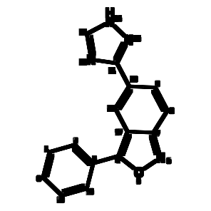 c1ccc(-c2onc3ccc(-c4nc[nH]n4)cc23)cc1